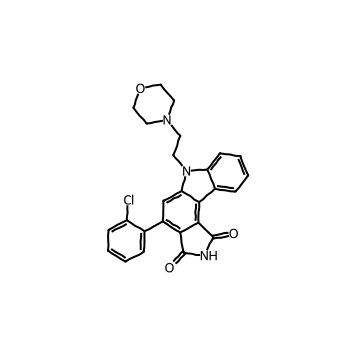 O=C1NC(=O)c2c1c(-c1ccccc1Cl)cc1c2c2ccccc2n1CCN1CCOCC1